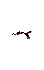 COc1ccc2c(c1)C(C)(C)\C(=C/C=C/C=C/c1sc3cc(O)ccc3[n+]1CCC[N+](C)(C)C)N2C